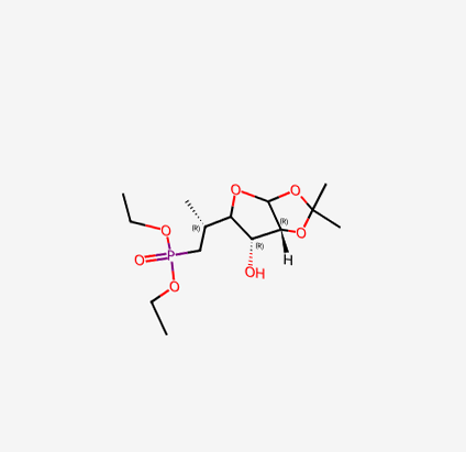 CCOP(=O)(C[C@H](C)C1OC2OC(C)(C)O[C@@H]2[C@@H]1O)OCC